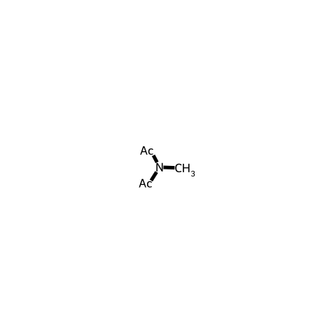 CC(=O)N(C)C(C)=O